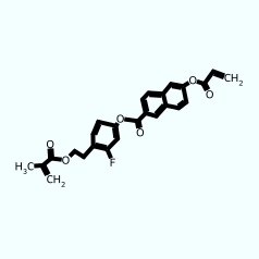 C=CC(=O)Oc1ccc2cc(C(=O)Oc3ccc(CCOC(=O)C(=C)C)c(F)c3)ccc2c1